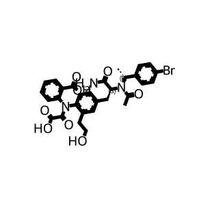 CC(=O)N([C@H](C)c1ccc(Br)cc1)[C@@H](Cc1ccc(N(C(=O)C(=O)O)c2ccccc2C(=O)O)c(CCO)c1)C(N)=O